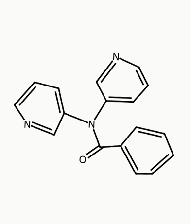 O=C(c1ccccc1)N(c1cccnc1)c1cccnc1